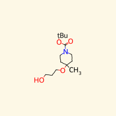 CC(C)(C)OC(=O)N1CCC(C)(OCCCO)CC1